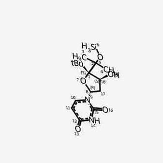 CC(C)(C)[C@]1(C(C)(C)O[SiH3])O[C@@H](n2ccc(=O)[nH]c2=O)C[C@@H]1O